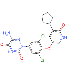 Nc1nn(-c2cc(Cl)c(Oc3c[nH]c(=O)c(C4CCCC4)c3)c(Cl)c2)c(=O)[nH]c1=O